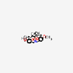 C=CCC(C)C(C(C)C)S(=O)(=O)N(Cc1ccc(OC)cc1)Cc1ccc(OC)cc1